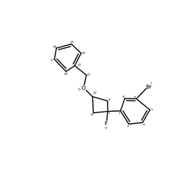 FC1(c2cccc(Br)c2)CC(OCc2ccccc2)C1